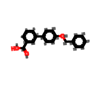 O=C(O)c1cccc(-c2ccc(OCc3ccccc3)cc2)c1